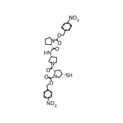 O=C(N[C@@H]1CCN(C(=O)[C@@H]2C[C@H](S)CN2C(=O)OCc2ccc([N+](=O)[O-])cc2)C1)[C@@H]1CCCN1C(=O)OCc1ccc([N+](=O)[O-])cc1